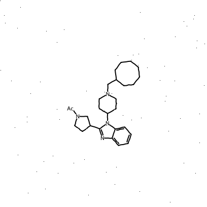 CC(=O)N1CCC(c2nc3ccccc3n2C2CCN(CC3CCCCCCC3)CC2)C1